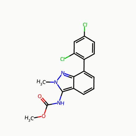 COC(=O)Nc1c2cccc(-c3ccc(Cl)cc3Cl)c2nn1C